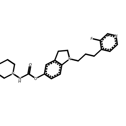 O=C(NN1CCCCC1)Oc1ccc2c(c1)CCN2CCCc1ccncc1F